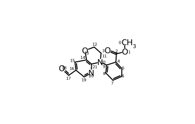 COC(=O)c1ccccc1N1CCOc2cc(C=O)cnc21